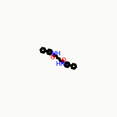 O=C(CCCCC(=O)Nc1ccc(C2CCCCC2)cc1)Nc1ccc(C2CCCCC2)cc1